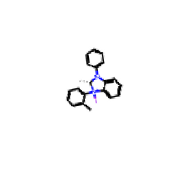 Cc1ccccc1[N+]1(I)c2ccccc2N(c2ccccc2)[C@H]1C